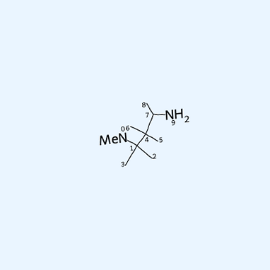 CNC(C)(C)C(C)(C)C(C)N